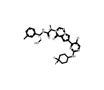 Cc1cccc([C@@H](CO)NC(=O)[C@@H](C)n2cnn3cc(-c4nc(NC5CCC(F)(F)CC5)ncc4Cl)cc3c2=O)c1